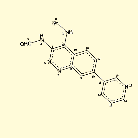 CC(C)Nc1c(NC=O)nnc2cc(-c3cccnc3)ccc12